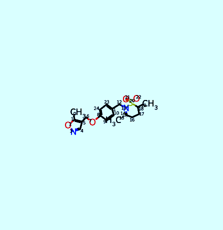 Cc1oncc1COc1ccc(CN2[C@@H](C)CCC(C)S2(=O)=O)cc1